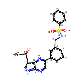 CC(C)(C)C(=O)c1c[nH]c2ncc(-c3cccc(CNS(=O)(=O)c4ccccc4)c3)nc12